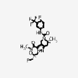 C[C@@H]1Cc2nn3c(c2CN1C(=O)Nc1ccc(F)c(C(F)(F)F)c1)C(=O)N(C)O[C@@H](CF)C3